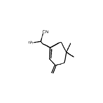 C=C1C=C(C(C#N)CCC)CC(C)(C)C1